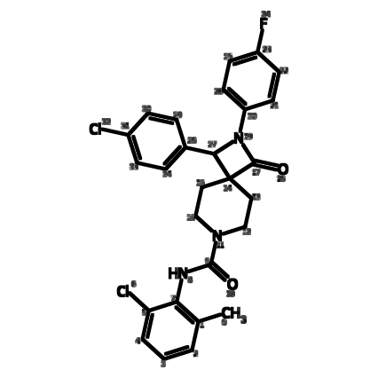 Cc1cccc(Cl)c1NC(=O)N1CCC2(CC1)C(=O)N(c1ccc(F)cc1)C2c1ccc(Cl)cc1